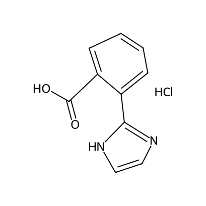 Cl.O=C(O)c1ccccc1-c1ncc[nH]1